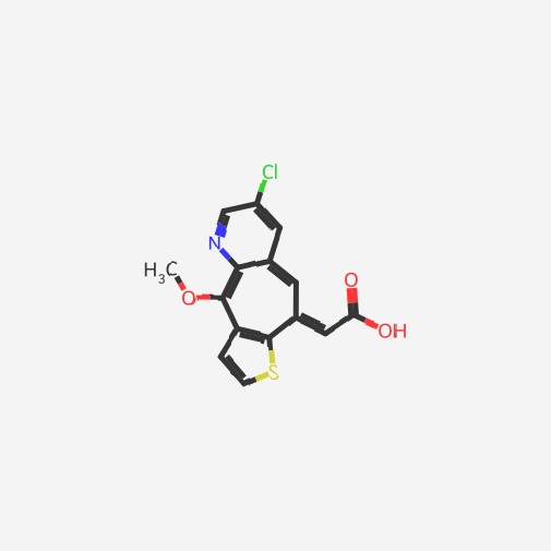 COC1=c2ncc(Cl)cc2=CC(=CC(=O)O)c2sccc21